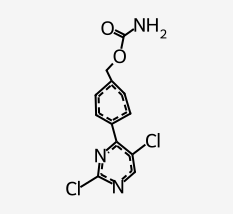 NC(=O)OCc1ccc(-c2nc(Cl)ncc2Cl)cc1